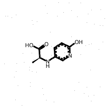 C[C@H](Nc1ccc(O)nc1)C(=O)O